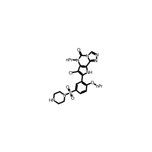 CCCOc1ccc(S(=O)(=O)N2CCNCC2)cc1-c1[nH]c2c(c1Cl)n(CCC)c(=O)n1cnnc21